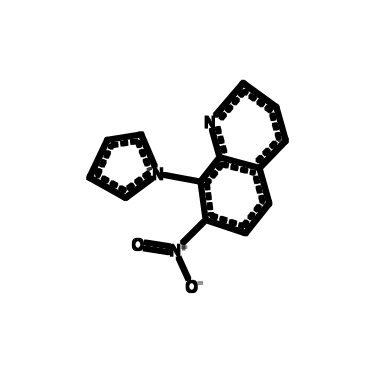 O=[N+]([O-])c1ccc2cccnc2c1-n1cccc1